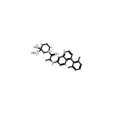 Cc1cccc(C)c1-c1ccnc2cc(OC(C)C(=O)N3CCCC(O)(C(=O)O)C3)ccc12